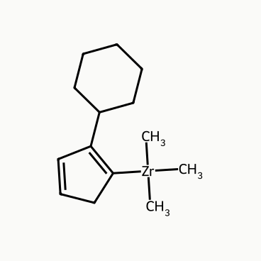 [CH3][Zr]([CH3])([CH3])[C]1=C(C2CCCCC2)C=CC1